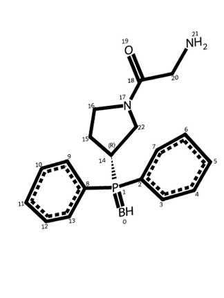 B=P(c1ccccc1)(c1ccccc1)[C@@H]1CCN(C(=O)CN)C1